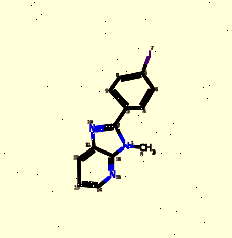 Cn1c(-c2ccc(I)cc2)nc2cccnc21